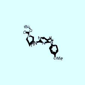 COc1ccc(-n2nnc3cnc(N[C@@H]4CCN(C(=O)OC(C)(C)C)C4)nc32)cc1